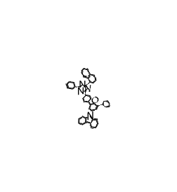 c1ccc(-c2nc(-c3ccc4c(c3)oc3c(-c5ccccc5)cc(-n5c6ccccc6c6ccccc65)cc34)nc(-c3cccc4ccccc34)n2)cc1